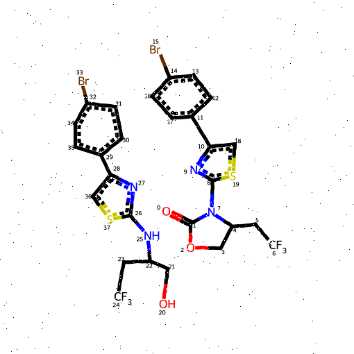 O=C1OCC(CC(F)(F)F)N1c1nc(-c2ccc(Br)cc2)cs1.OCC(CC(F)(F)F)Nc1nc(-c2ccc(Br)cc2)cs1